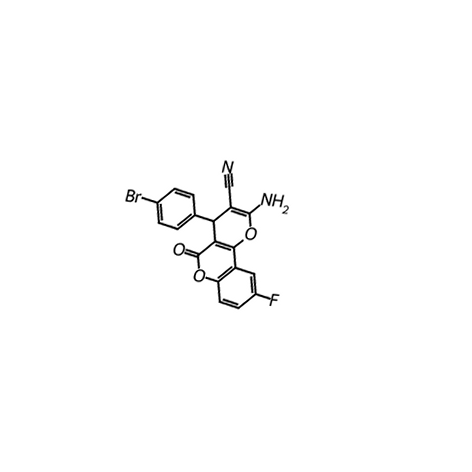 N#CC1=C(N)Oc2c(c(=O)oc3ccc(F)cc23)C1c1ccc(Br)cc1